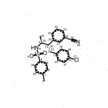 Cc1ccc(S(=O)(=O)N[C@@H](C)[C@@H](Cc2ccc(Cl)cc2)c2cccc(C#N)c2)cc1